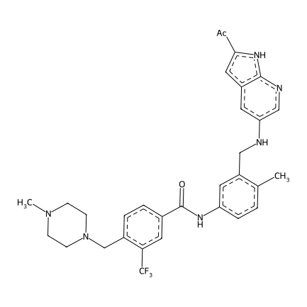 CC(=O)c1cc2cc(NCc3cc(NC(=O)c4ccc(CN5CCN(C)CC5)c(C(F)(F)F)c4)ccc3C)cnc2[nH]1